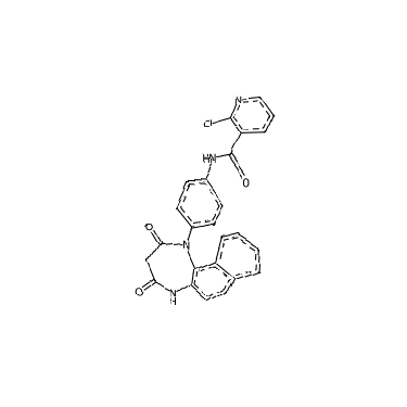 O=C1CC(=O)N(c2ccc(NC(=O)c3cccnc3Cl)cc2)c2c(ccc3ccccc23)N1